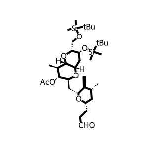 C=C1[C@H](C)C[C@H](CCC=O)O[C@@H]1C[C@@H]1O[C@H]2C[C@@H](O[Si](C)(C)C(C)(C)C)[C@@H](CO[Si](C)(C)C(C)(C)C)O[C@H]2[C@H](C)[C@H]1OC(C)=O